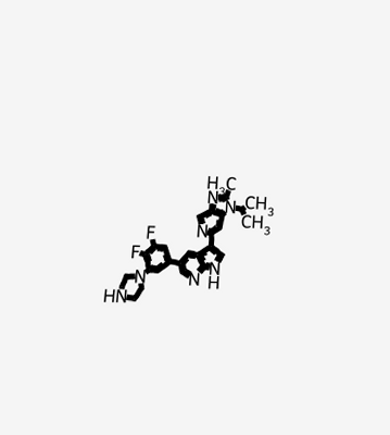 Cc1nc2cnc(-c3c[nH]c4ncc(-c5cc(F)c(F)c(N6CCNCC6)c5)cc34)cc2n1C(C)C